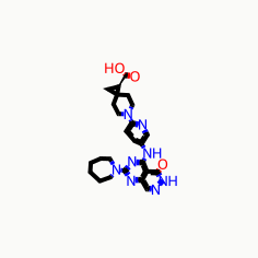 O=C(O)[C@@H]1CC12CCN(c1ccc(Nc3nc(N4CCCCCC4)nc4cn[nH]c(=O)c34)cn1)CC2